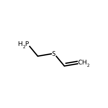 C=CSCP